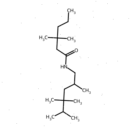 CCCC(C)(C)CC(=O)NCC(C)CC(C)(C)C(C)C